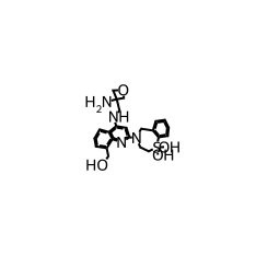 NC1(CNc2cc(N3CCS(O)(O)c4ccccc4C3)nc3c(CO)cccc23)COC1